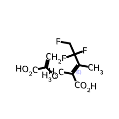 C/C(C(=O)O)=C(/C)C(F)(F)CF.C=C(C)C(=O)O